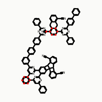 N#Cc1cccc2c1C1c3cccc(C#N)c3C2c2c(-c3nc(-c4ccccc4)nc(-c4ccc(-c5ccc(-c6cccc(-c7cc(-c8ccccc8)nc(-c8cc9c(cc8-c8nc(-c%10ccccc%10)cc(-c%10ccccc%10)n8)C8%10c%11cccc(C#N)c%11C8c8cccc(C#N)c8C9%10)n7)c6)cc5)cc4)n3)ccc(-c3nc(-c4ccccc4)nc(-c4ccc(-c5ccccc5)cc4)n3)c21